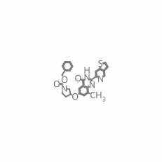 Cc1cc(OC2CCN(C(=O)OCc3ccccc3)C2)cc2c(=O)[nH]c(-c3cc4sccc4cn3)nc12